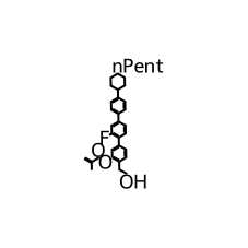 C=C(C)C(=O)Oc1cc(-c2ccc(-c3ccc(C4CCC(CCCCC)CC4)cc3)cc2F)ccc1CCO